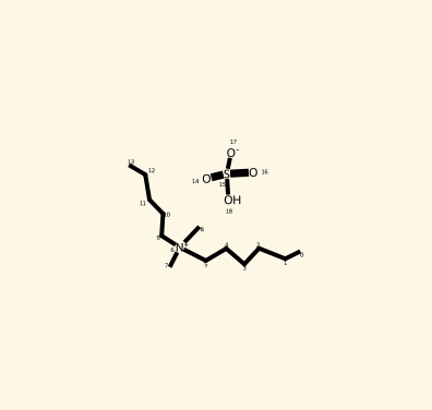 CCCCCC[N+](C)(C)CCCCC.O=S(=O)([O-])O